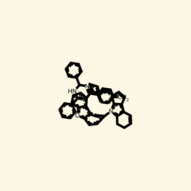 C=S123C=Cc4c5c(n(c41)-c1ccc4oc6cccc(c6c4c1)-c1ccc(c2c1)-c1c(C2=NC(c4ccccc4)NC(c4ccccc4)=N2)cccc13)CCC=C5